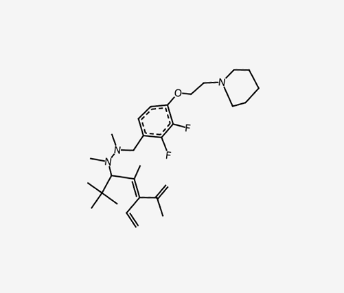 C=C/C(C(=C)C)=C(/C)C(N(C)N(C)Cc1ccc(OCCN2CCCCC2)c(F)c1F)C(C)(C)C